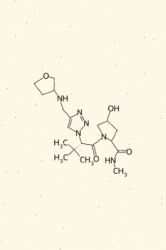 CNC(=O)C1CC(O)CN1C(=O)[C@@H](n1cc(CNC2CCOC2)nn1)C(C)(C)C